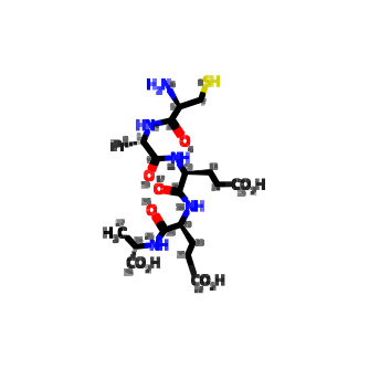 CC(C)[C@H](NC(=O)[C@@H](N)CS)C(=O)N[C@@H](CCC(=O)O)C(=O)N[C@@H](CCC(=O)O)C(=O)N[C@@H](C)C(=O)O